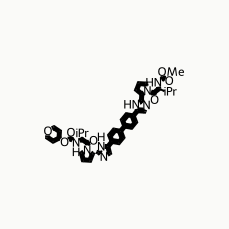 COC(=O)N[C@H](C(=O)N1CCCC1c1ncc(-c2ccc(-c3ccc(C4CN=C([C@@H]5CCCN5C(=O)[C@@H](NC(=O)OC5CCOCC5)C(C)C)N4)cc3)cc2)[nH]1)C(C)C